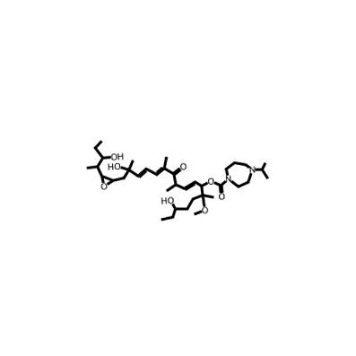 CCC(O)CCC(C)(OC)C(C=CC(C)C(=O)C(C)=CC=CC(C)(O)CC1OC1C(C)C(O)CC)OC(=O)N1CCCN(C(C)C)CC1